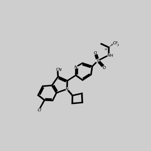 C[C@@H](NS(=O)(=O)c1ccc(-c2c(C#N)c3ccc(Cl)cc3n2C2CCC2)nc1)C(F)(F)F